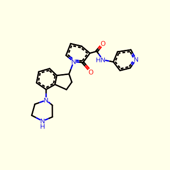 O=C(Nc1ccncc1)c1cccn(C2CCc3c2cccc3N2CCNCC2)c1=O